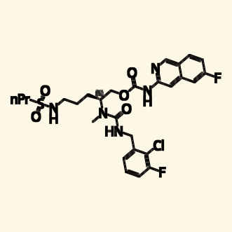 CCCS(=O)(=O)NCCC[C@@H](COC(=O)Nc1cc2cc(F)ccc2cn1)N(C)C(=O)NCc1cccc(F)c1Cl